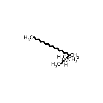 CCCCCCCCCCCCCCCCC(C)C(C)(C)NCCC